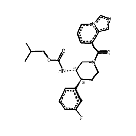 CC(C)COC(=O)N[C@@H]1CN(C(=O)c2cccn3cncc23)CC[C@H]1c1cccc(F)c1